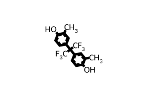 Cc1cc(C(c2ccc(O)c(C)c2)(C(F)(F)F)C(F)(F)F)ccc1O